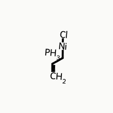 C=C[CH2][Ni][Cl].P